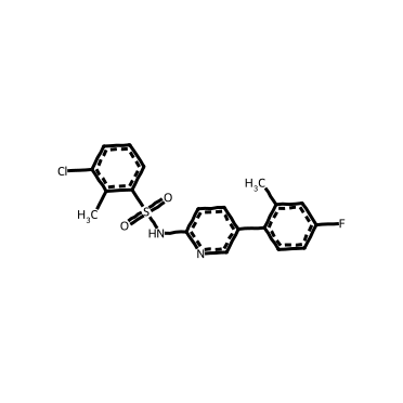 Cc1cc(F)ccc1-c1ccc(NS(=O)(=O)c2cccc(Cl)c2C)nc1